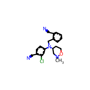 CN1C[C@@H](N(Cc2ccccc2C#N)c2ccc(C#N)c(Cl)c2)CCO1